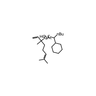 C=CC(C)(CCC=C(C)C)OC(C)=O.CCCCC(C(=O)O)C1CCCCC1